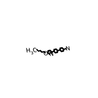 CCCC=CCOc1ccc(-c2ccc(-c3ccc(C#N)cc3)cc2)nc1